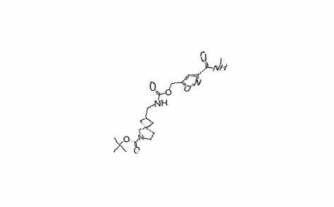 CNC(=O)c1cc(COC(=O)NCC2CC3(CCN(C(=O)OC(C)(C)C)C3)C2)on1